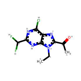 CCn1c(C(C)=O)nc2c(Cl)nc(C(F)F)nc21